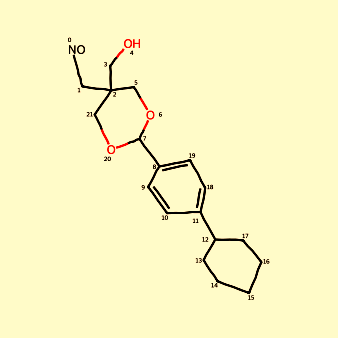 O=NCC1(CO)COC(c2ccc(C3CCCCC3)cc2)OC1